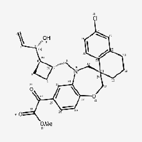 C=C[C@H](O)[C@@H]1CC[C@H]1CN1C[C@@]2(CCCc3cc(Cl)ccc32)COc2ccc(C(=O)C(=O)OC)cc21